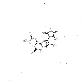 CC1C(=O)OC(=O)C1C1C(C)C2CC(C(CC(=O)OC(C)(C)C)OC(=O)C(F)(F)F)C1C2